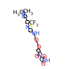 CN(C)c1ccc(-c2ccc(-c3nc4ccc(NCCCOCCCOc5ccc6c(c5)CN(C5CCC(=O)NC5=O)C6=O)cc4s3)c(C(F)(F)F)c2)cn1